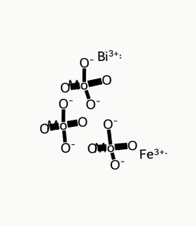 [Bi+3].[Fe+3].[O]=[Mo](=[O])([O-])[O-].[O]=[Mo](=[O])([O-])[O-].[O]=[Mo](=[O])([O-])[O-]